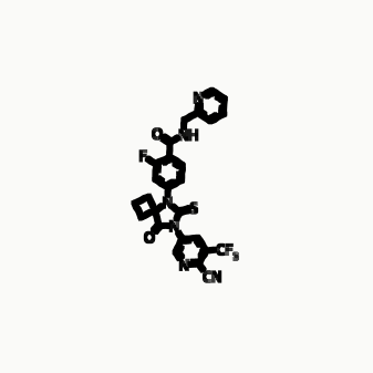 N#Cc1ncc(N2C(=O)C3(CCC3)N(c3ccc(C(=O)NCc4ccccn4)c(F)c3)C2=S)cc1C(F)(F)F